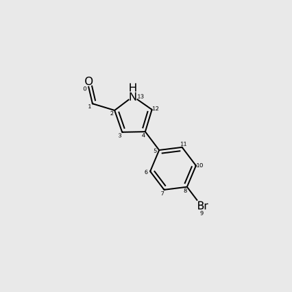 O=Cc1cc(-c2ccc(Br)cc2)c[nH]1